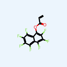 C=CC(=O)Oc1c(F)c(F)c(F)c2c(F)c(F)c(F)c(F)c12